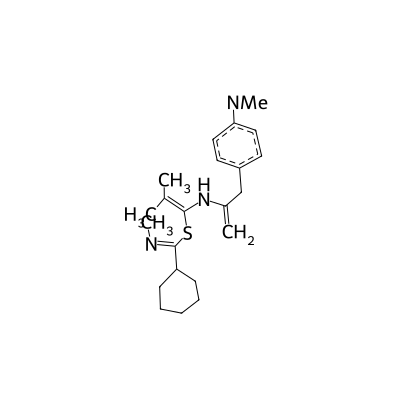 C=C(Cc1ccc(NC)cc1)NC(S/C(=N\C)C1CCCCC1)=C(C)C